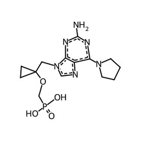 Nc1nc(N2CCCC2)c2ncn(CC3(OCP(=O)(O)O)CC3)c2n1